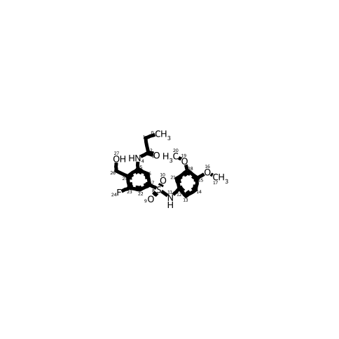 CCC(=O)Nc1cc(S(=O)(=O)Nc2ccc(OC)c(OC)c2)cc(F)c1CO